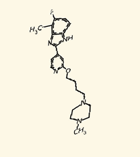 Cc1c(F)ccc2[nH]c(-c3ccnc(OCCCCN4CCN(C)CC4)c3)nc12